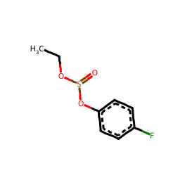 CCOS(=O)Oc1ccc(F)cc1